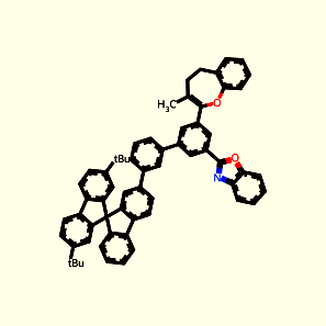 CC1=C(c2cc(-c3cccc(-c4ccc5c(c4)C4(c6ccccc6-5)c5cc(C(C)(C)C)ccc5-c5ccc(C(C)(C)C)cc54)c3)cc(-c3nc4ccccc4o3)c2)Oc2ccccc2CC1